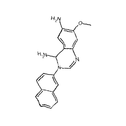 COc1cc2c(cc1N)C(N)N(c1ccc3ccccc3c1)C=N2